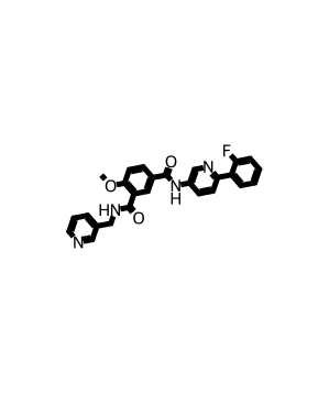 COc1ccc(C(=O)Nc2ccc(-c3ccccc3F)nc2)cc1C(=O)NCc1cccnc1